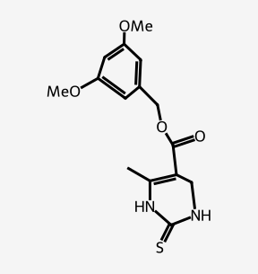 COc1cc(COC(=O)C2=C(C)NC(=S)NC2)cc(OC)c1